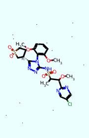 COc1cccc(OC)c1-n1c(NS(=O)(=O)C(C)C(OC)c2ncc(Cl)cn2)nnc1[C@H]1CCS(=O)(=O)C1